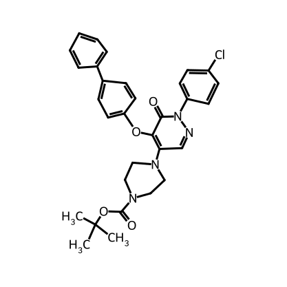 CC(C)(C)OC(=O)N1CCN(c2cnn(-c3ccc(Cl)cc3)c(=O)c2Oc2ccc(-c3ccccc3)cc2)CC1